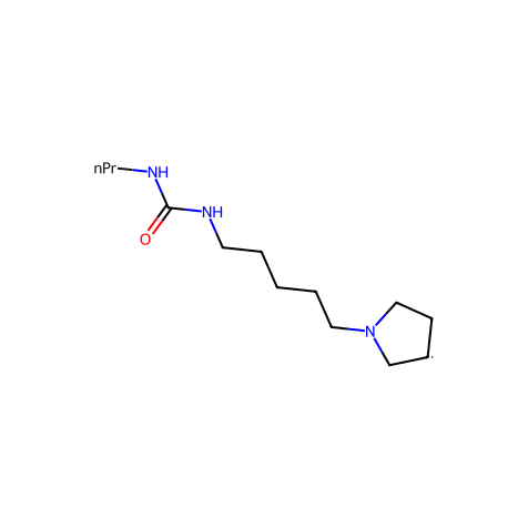 CCCNC(=O)NCCCCCN1C[CH]CC1